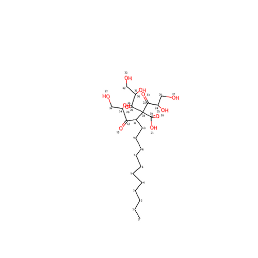 CCCCCCCCCCCC(C(=O)C(O)CO)C(C(=O)O)(C(=O)C(O)CO)C(=O)C(O)CO